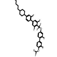 CCCCCC1CCC(c2ccc(-c3cc(F)c(C(F)(F)Oc4ccc(-c5ccc(OC(F)F)c(F)c5)c(F)c4)c(F)c3)c(F)c2)CC1